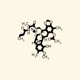 C/C=C/C(=O)N[C@@H](C)C(=O)NC[C@H]1c2c(c(OC(C)=O)c(C)c3c2OCO3)C[C@H]2C3c4c(cc(C)c(OC)c4O)CC([C@H](C#N)N12)N3C